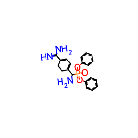 N=C(N)C1=CC=C(C(N)P(=O)(Oc2ccccc2)Oc2ccccc2)CC1